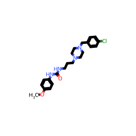 COc1ccc(NC(=O)NCCCN2CCN(Cc3ccc(Cl)cc3)CC2)cc1